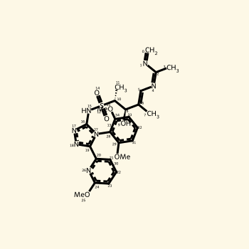 C=N/C(C)=N\C=C(/C)[C@@H](O)[C@@H](C)S(=O)(=O)Nc1nnc(-c2cccc(OC)n2)n1-c1c(OC)cccc1OC